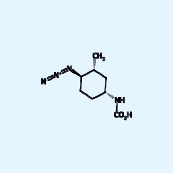 C[C@@H]1C[C@H](NC(=O)O)CC[C@H]1N=[N+]=[N-]